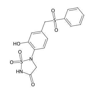 O=C1CN(c2ccc(CS(=O)(=O)c3ccccc3)cc2O)S(=O)(=O)N1